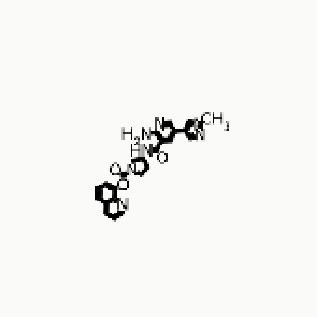 Cn1cc(-c2cnc(N)c(C(=O)N[C@@H]3CCN(C(=O)Oc4cccc5cccnc45)C3)c2)cn1